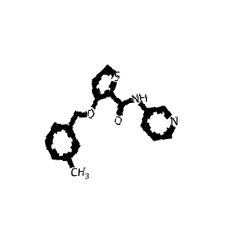 Cc1cccc(COc2ccsc2C(=O)Nc2cccnc2)c1